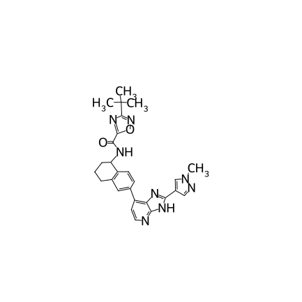 Cn1cc(-c2nc3c(-c4ccc5c(c4)CCCC5NC(=O)c4nc(C(C)(C)C)no4)ccnc3[nH]2)cn1